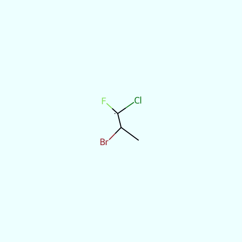 CC(Br)[C](F)Cl